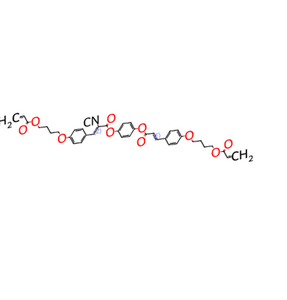 [C-]#[N+]/C(=C\c1ccc(OCCCCOC(=O)C=C)cc1)C(=O)Oc1ccc(OC(=O)/C=C/c2ccc(OCCCCOC(=O)C=C)cc2)cc1